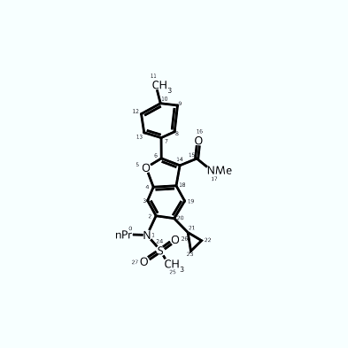 CCCN(c1cc2oc(-c3ccc(C)cc3)c(C(=O)NC)c2cc1C1CC1)S(C)(=O)=O